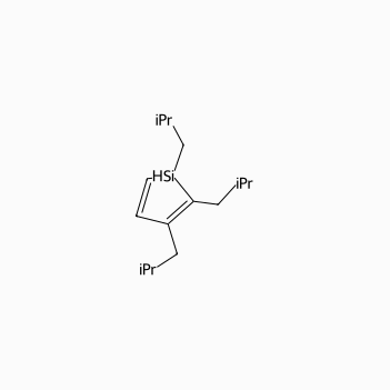 CC(C)CC1=C(CC(C)C)[SiH](CC(C)C)C=C1